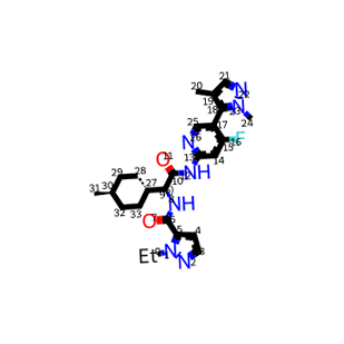 CCn1nccc1C(=O)N[C@H](C(=O)Nc1cc(F)c(-c2c(C)cnn2C)cn1)[C@H]1CC[C@H](C)CC1